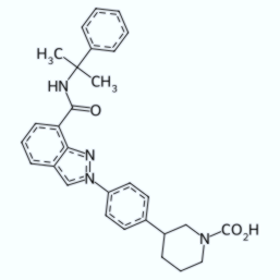 CC(C)(NC(=O)c1cccc2cn(-c3ccc(C4CCCN(C(=O)O)C4)cc3)nc12)c1ccccc1